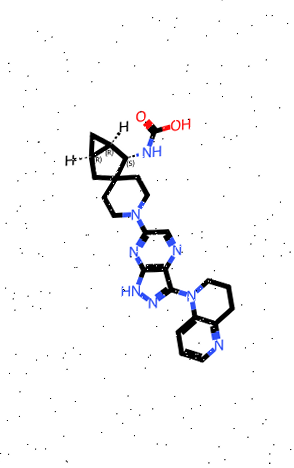 O=C(O)N[C@H]1[C@@H]2C[C@@H]2CC12CCN(c1cnc3c(N4CCCc5ncccc54)n[nH]c3n1)CC2